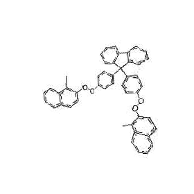 Cc1c(OOc2ccc(C3(c4ccc(OOc5ccc6ccccc6c5C)cc4)c4ccccc4-c4ccccc43)cc2)ccc2ccccc12